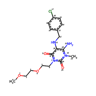 COCCOCCn1c(=O)c(NCc2ccc(Cl)cc2)c(N)n(C)c1=O